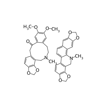 CN1Cc2c(ccc3c2OCO3)-c2ccc3cc4c(cc3c21)OCO4.COc1cc2c(cc1OC)C(=O)Cc1ccc3c(c1CN(C)CC2)OCO3